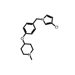 CN1CCC(Oc2ccc(Cn3ccc(Cl)c3)cc2)CC1